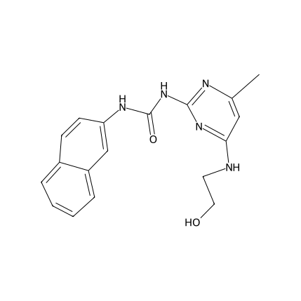 Cc1cc(NCCO)nc(NC(=O)Nc2ccc3ccccc3c2)n1